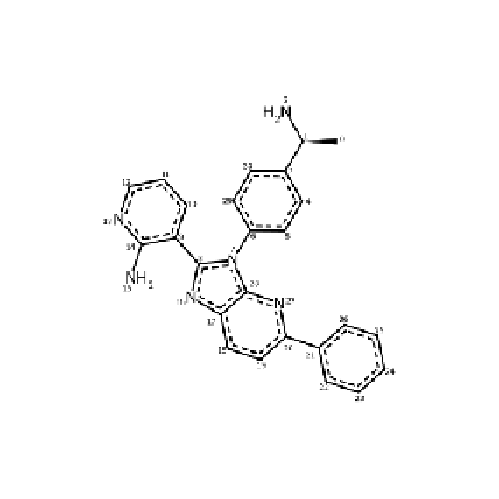 C[C@H](N)c1ccc(-n2c(-c3cccnc3N)nc3ccc(-c4ccccc4)nc32)cc1